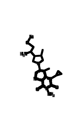 CCOCC(N)C1CN(c2cnc3c(=O)n(N)c(=O)n(C4CC4)c3c2C)CC1C